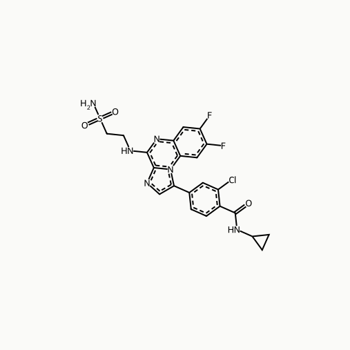 NS(=O)(=O)CCNc1nc2cc(F)c(F)cc2n2c(-c3ccc(C(=O)NC4CC4)c(Cl)c3)cnc12